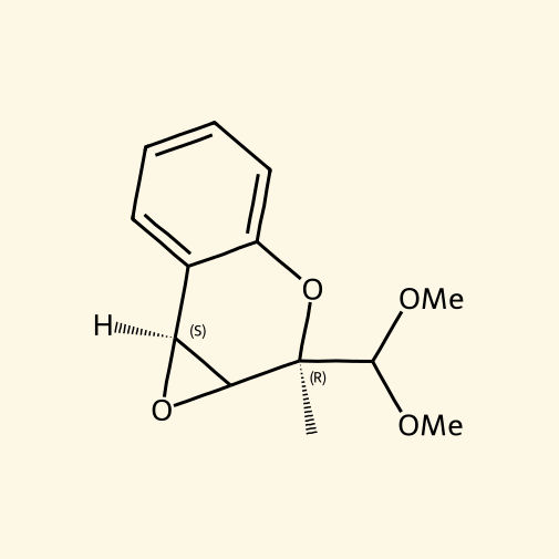 COC(OC)[C@]1(C)Oc2ccccc2[C@@H]2OC21